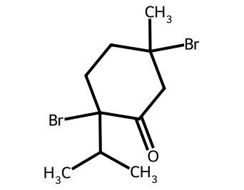 CC(C)C1(Br)CCC(C)(Br)CC1=O